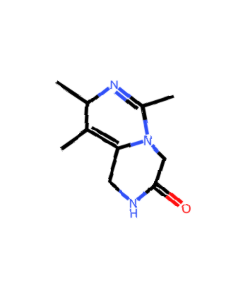 CC1=NC(C)C(C)=C2CNC(=O)CN12